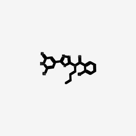 CCCCN(C(=O)c1ccccc1Cl)c1nnc(-c2cc(Cl)[nH]c(=O)c2)s1